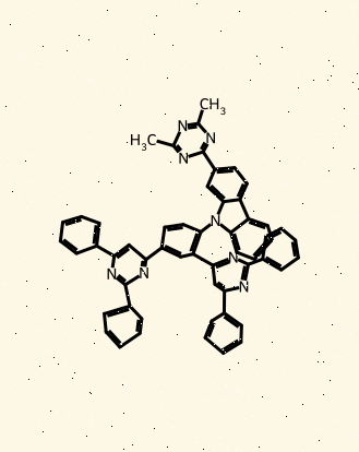 Cc1nc(C)nc(-c2ccc3c4ccccc4n(-c4ccc(-c5cc(-c6ccccc6)nc(-c6ccccc6)n5)cc4-c4cc(-c5ccccc5)nc(-c5ccccc5)n4)c3c2)n1